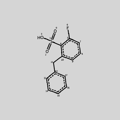 O=S(=O)(O)c1c(F)cccc1Cc1ccccc1